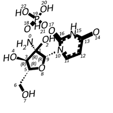 N[C@@]1(O)[C@H](O)[C@@H](CO)O[C@H]1n1ccc(=O)[nH]c1=O.O=P(O)(O)O